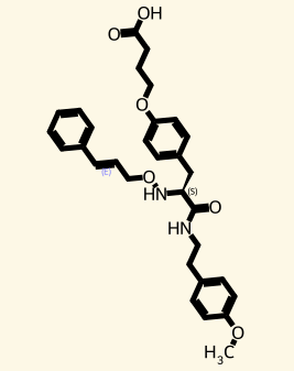 COc1ccc(CCNC(=O)[C@H](Cc2ccc(OCCCC(=O)O)cc2)NOC/C=C/c2ccccc2)cc1